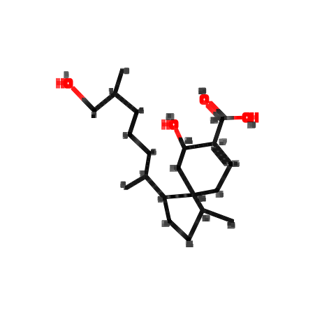 CC(CO)CCCC(C)C1CCC(C)C12CC=C(C(=O)O)C(O)C2